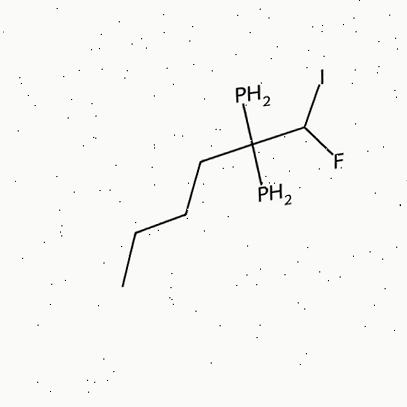 CCCCC(P)(P)C(F)I